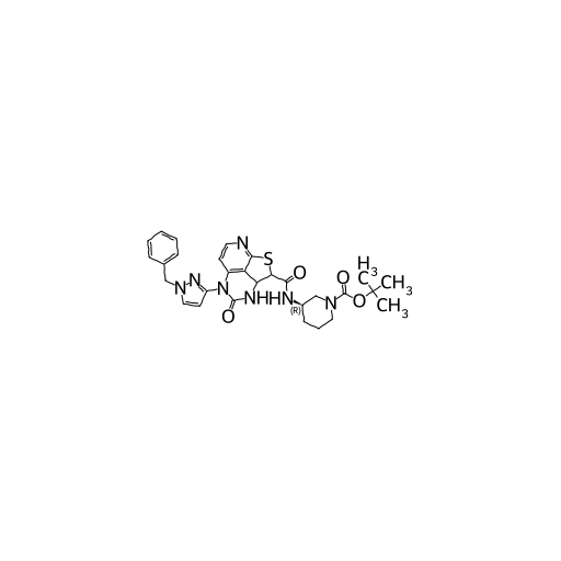 CC(C)(C)OC(=O)N1CCC[C@@H](NC(=O)C2Sc3nccc4c3C2NC(=O)N4c2ccn(Cc3ccccc3)n2)C1